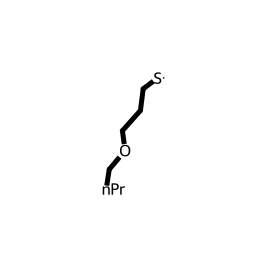 CCCCOCCC[S]